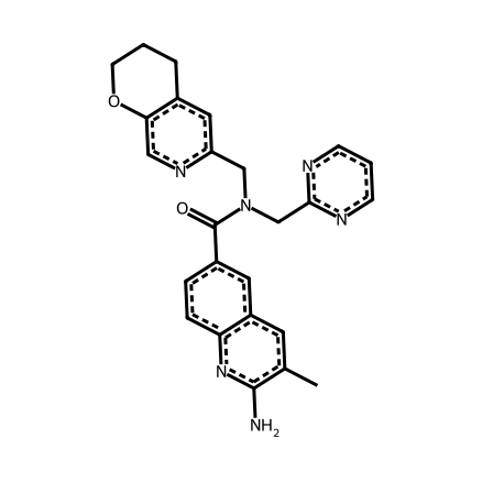 Cc1cc2cc(C(=O)N(Cc3cc4c(cn3)OCCC4)Cc3ncccn3)ccc2nc1N